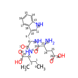 CC[C@H](C)[C@H](NC(=O)[C@H](Cc1c[nH]c2ccccc12)NC(=O)[C@@H](N)CCC(=O)O)C(=O)O